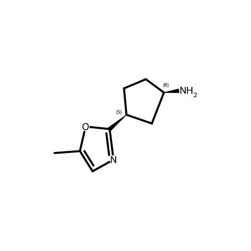 Cc1cnc([C@H]2CC[C@@H](N)C2)o1